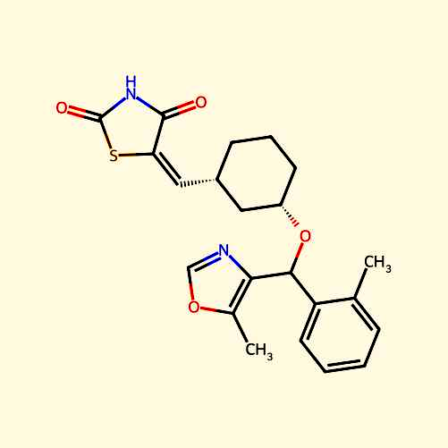 Cc1ccccc1C(O[C@H]1CCC[C@@H](C=C2SC(=O)NC2=O)C1)c1ncoc1C